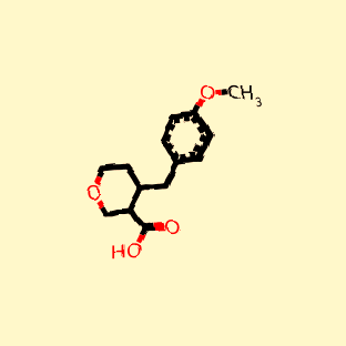 COc1ccc(CC2CCOCC2C(=O)O)cc1